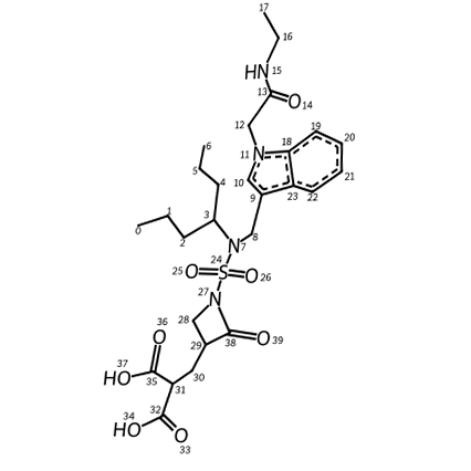 CCCC(CCC)N(Cc1cn(CC(=O)NCC)c2ccccc12)S(=O)(=O)N1CC(CC(C(=O)O)C(=O)O)C1=O